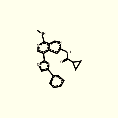 CNc1ncc(-c2nc(-c3ccccc3)co2)c2cc(NC(=O)C3CC3)ncc12